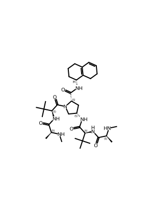 CN[C@@H](C)C(=O)N[C@H](C(=O)N[C@H]1C[C@@H](C(=O)N[C@@H]2CCCC3=C2CCC=C3)N(C(=O)[C@@H](NC(=O)[C@H](C)NC)C(C)(C)C)C1)C(C)(C)C